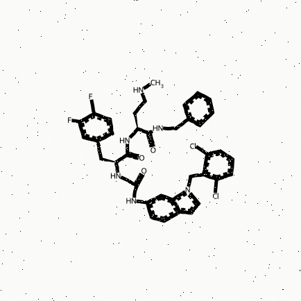 CNCC[C@H](NC(=O)[C@H](Cc1ccc(F)c(F)c1)NC(=O)Nc1ccc2ccn(Cc3c(Cl)cccc3Cl)c2c1)C(=O)NCc1ccccc1